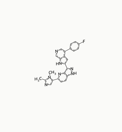 Cc1ncc(-c2ccc3[nH]nc(-c4cc5c(-c6ccc(F)cc6)cncc5[nH]4)c3n2)n1C